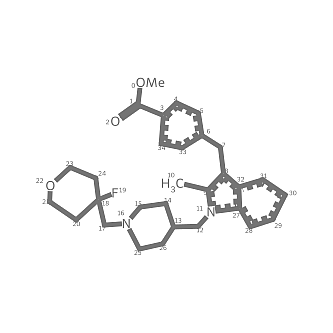 COC(=O)c1ccc(Cc2c(C)n(CC3CCN(CC4(F)CCOCC4)CC3)c3ccccc23)cc1